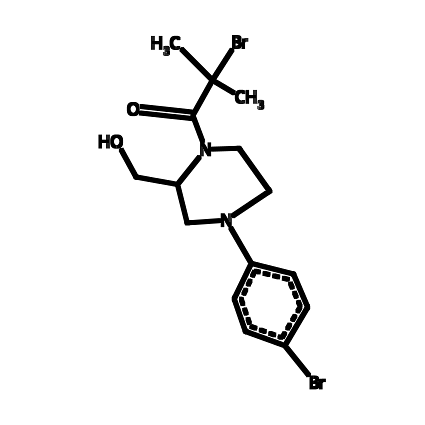 CC(C)(Br)C(=O)N1CCN(c2ccc(Br)cc2)CC1CO